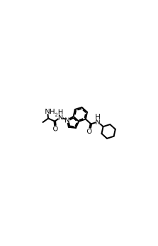 CC(N)C(=O)Nn1ccc2c(C(=O)NC3CCCCC3)cccc21